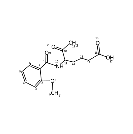 COc1ccccc1C(=O)NC(CCCC(=O)O)C(C)=O